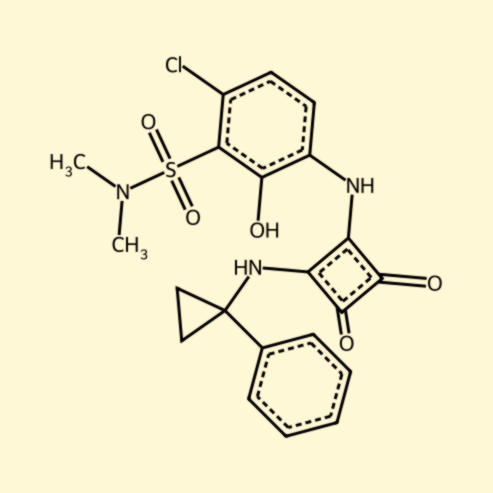 CN(C)S(=O)(=O)c1c(Cl)ccc(Nc2c(NC3(c4ccccc4)CC3)c(=O)c2=O)c1O